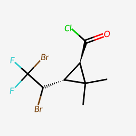 CC1(C)[C@H](C(=O)Cl)[C@H]1C(Br)C(F)(F)Br